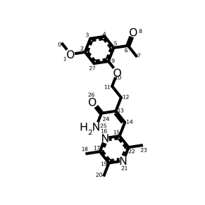 COc1ccc(C(C)=O)c(OCCC(=Cc2nc(C)c(C)nc2C)C(N)=O)c1